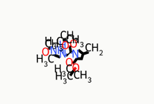 C=CC1CC(C(=O)OC(C)(C)C)N([C@@H](CNCC(C)NC(C)=O)C(=O)OC(C)(C)C)C1